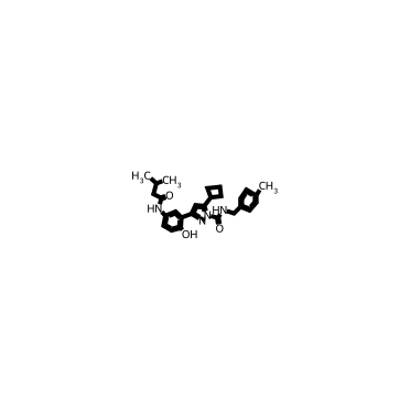 Cc1ccc(CNC(=O)n2nc(-c3cc(NC(=O)CC(C)C)ccc3O)cc2C2CCC2)cc1